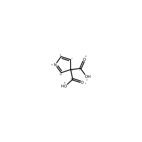 O=C(O)C1(C(=O)O)C=CN=C1